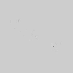 CN(C)C1CC2CN(S(=O)(=O)c3ccc(OC(F)F)cc3)CC2C1